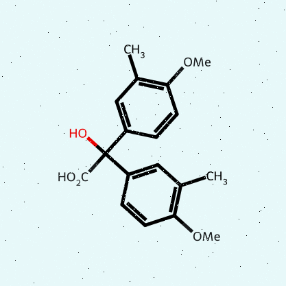 COc1ccc(C(O)(C(=O)O)c2ccc(OC)c(C)c2)cc1C